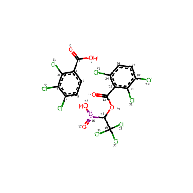 O=C(O)c1ccc(Cl)c(Cl)c1Cl.O=C(OC([PH](=O)O)C(Cl)(Cl)Cl)c1c(Cl)ccc(Cl)c1Cl